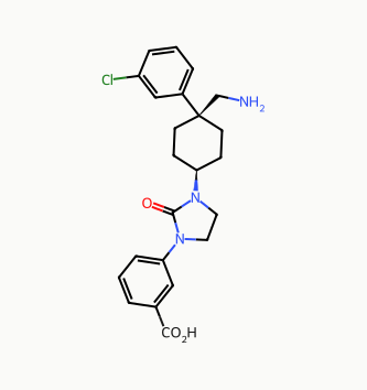 NC[C@]1(c2cccc(Cl)c2)CC[C@H](N2CCN(c3cccc(C(=O)O)c3)C2=O)CC1